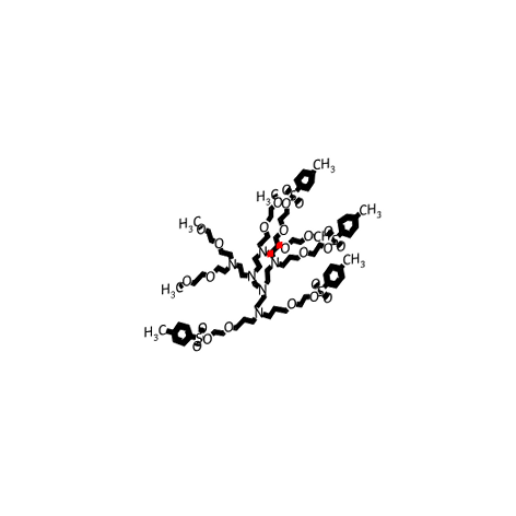 COCCOCCN(CCOCCOC)CCN(CCN(CCOCCOC)CCOCCOC)CN(CCN(CCCOCCOS(=O)(=O)c1ccc(C)cc1)CCCOCCOS(=O)(=O)c1ccc(C)cc1)CCN(CCCOCCOS(=O)(=O)c1ccc(C)cc1)CCCOCCOS(=O)(=O)c1ccc(C)cc1